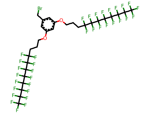 FC(F)(F)C(F)(F)C(F)(F)C(F)(F)C(F)(F)C(F)(F)C(F)(F)C(F)(F)CCCOc1cc(CBr)cc(OCCCC(F)(F)C(F)(F)C(F)(F)C(F)(F)C(F)(F)C(F)(F)C(F)(F)C(F)(F)F)c1